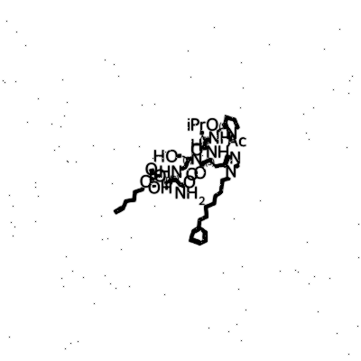 C=CCCCCOP(=O)(O)O[C@H](C)[C@H](NC(=O)[C@H](CO)NC(=O)[C@H](Cc1cncn1CCCCCCCCc1ccccc1)NC(=O)[C@H](CC(C)C)NC(=O)[C@@H]1CCCN1C(C)=O)C(N)=O